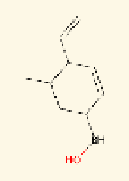 C=CC1C=CC(BO)CC1C